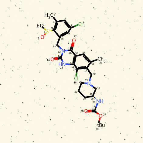 CC[S+]([O-])c1c(C)cc(Cl)cc1Cn1c(=O)[nH]c2c(Cl)c(CN3CCC[C@@H](NC(=O)OC(C)(C)C)C3)c(C(F)(F)F)cc2c1=O